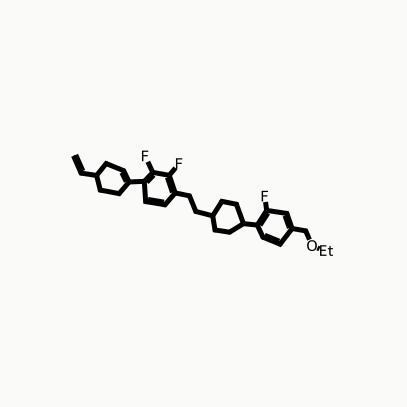 C=CC1CC=C(c2ccc(CCC3CCC(c4ccc(COCC)cc4F)CC3)c(F)c2F)CC1